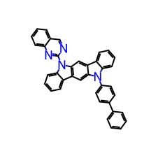 c1ccc(-c2ccc(-n3c4ccccc4c4cc5c(cc43)c3ccccc3n5-c3ncc4ccccc4n3)cc2)cc1